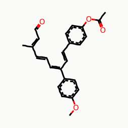 COc1ccc(C(C=Cc2ccc(OC(C)=O)cc2)=CC=CC(C)=CC=O)cc1